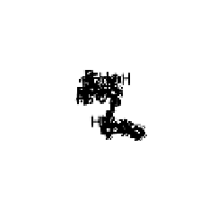 O=C(Nc1cc(OCCCONC2C=CC=CC2=Cc2ccc(-c3ccccc3)cc2)ccc1C(=O)O)c1cc(C(F)(F)F)cc(C(F)(F)F)c1